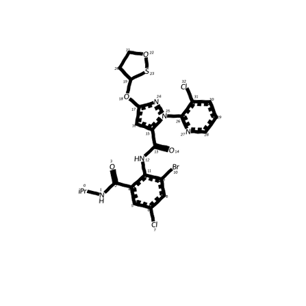 CC(C)NC(=O)c1cc(Cl)cc(Br)c1NC(=O)c1cc(OC2CCOS2)nn1-c1ncccc1Cl